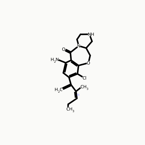 C=C(/C(C)=C\CC)c1cc(N)c2c(c1Cl)OCC1CNCCN1C2=O